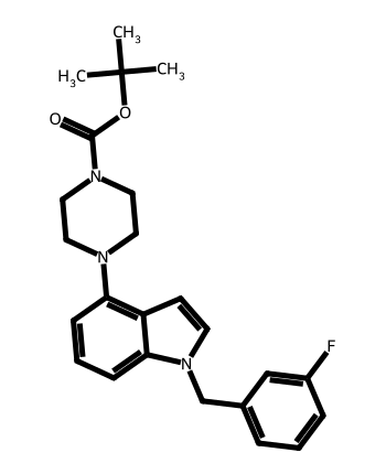 CC(C)(C)OC(=O)N1CCN(c2cccc3c2ccn3Cc2cccc(F)c2)CC1